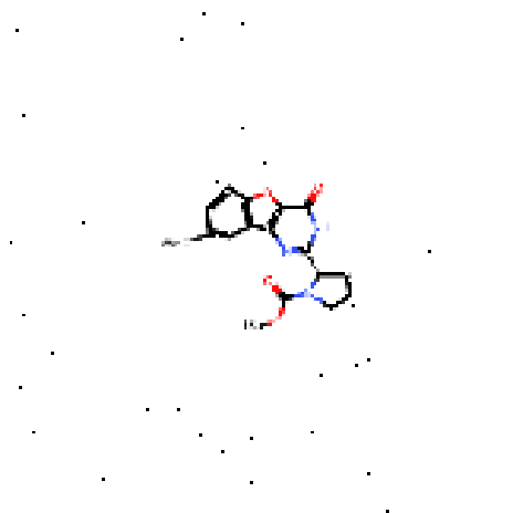 COc1ccc2oc3c(=O)[nH]c([C@H]4CCCN4C(=O)OC(C)(C)C)nc3c2c1